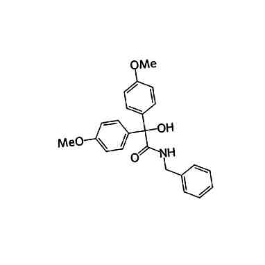 COc1ccc(C(O)(C(=O)NCc2ccccc2)c2ccc(OC)cc2)cc1